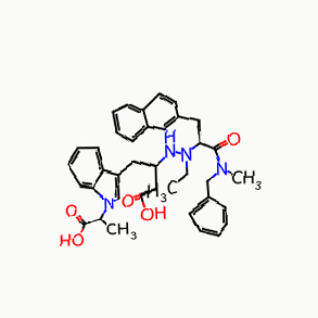 CCN(NC(CC(=O)O)Cc1cn(C(C)C(=O)O)c2ccccc12)[C@@H](Cc1ccc2ccccc2c1)C(=O)N(C)Cc1ccccc1